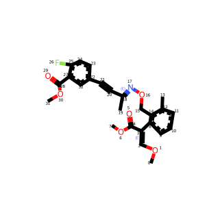 CO/C=C(/C(=O)OC)c1cccc(C)c1CO/N=C(\C)C#Cc1ccc(F)c(C(=O)OC)c1